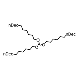 CCCCCCCCCCCCCCCC[O][Al]([O]CCCCCCCCCCCCCCCC)[O]CCCCCCCCCCCCCCCC